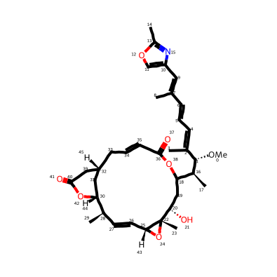 CO[C@@H](/C(C)=C/C=C/C(C)=C/c1coc(C)n1)[C@@H](C)C1C[C@H](O)[C@]2(C)O[C@@H]2/C=C/[C@@H](C)[C@H]2C[C@@H](C/C=C/C(=O)O1)CC(=O)O2